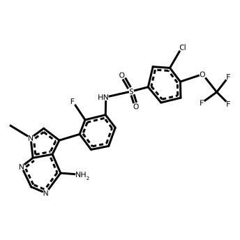 Cn1cc(-c2cccc(NS(=O)(=O)c3ccc(OC(F)(F)F)c(Cl)c3)c2F)c2c(N)ncnc21